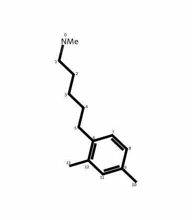 CNCCCCCc1ccc(C)cc1C